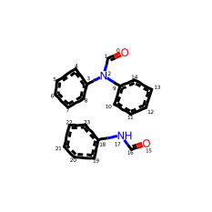 O=CN(c1ccccc1)c1ccccc1.O=CNc1ccccc1